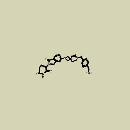 O=C1CCC(N2Cc3cc(N4CC5(CCN(Cc6ccc(CO)cc6)CC5)C4)ccc3C2=O)C(=O)N1